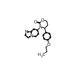 CCCOc1ccc(C2CCOC(=O)N2c2ccn3ccnc3c2)cc1